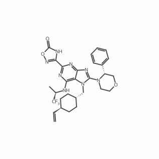 C=C[C@H]1CC[C@H](Cn2c(N3CCOC[C@H]3c3ccccc3)nc3nc(-c4noc(=O)[nH]4)nc(N[C@H](C)C(F)(F)F)c32)CC1